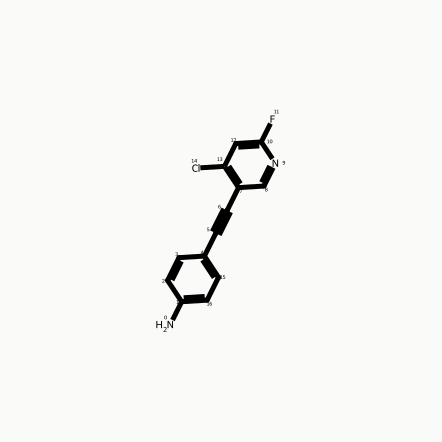 Nc1ccc(C#Cc2cnc(F)cc2Cl)cc1